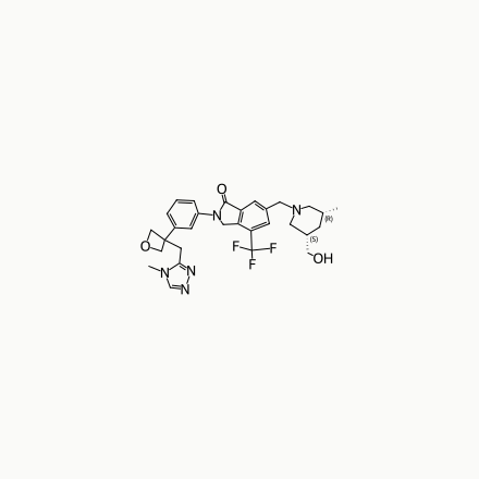 C[C@@H]1C[C@H](CO)CN(Cc2cc3c(c(C(F)(F)F)c2)CN(c2cccc(C4(Cc5nncn5C)COC4)c2)C3=O)C1